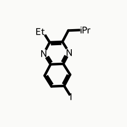 CCc1nc2ccc(I)cc2nc1CC(C)C